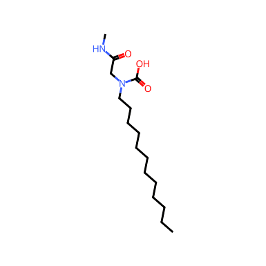 CCCCCCCCCCCCN(CC(=O)NC)C(=O)O